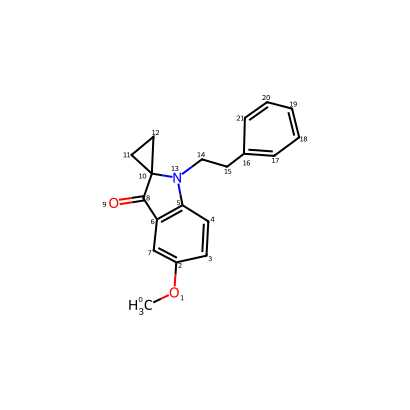 COc1ccc2c(c1)C(=O)C1(CC1)N2CCc1ccccc1